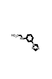 O=C(O)CNc1cccc(-n2cncn2)c1